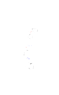 O=C(NCCc1ccc(Oc2ccccc2)cc1)c1ccc(CNC2CCc3ccccc32)cc1